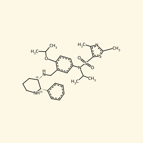 Cc1nc(C)c(S(=O)(=O)N(c2ccc(OC(C)C)c(CN[C@H]3CCCN[C@H]3c3ccccc3)c2)C(C)C)s1